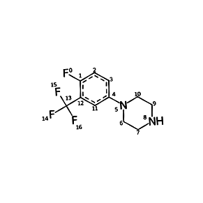 Fc1ccc(N2CCNCC2)cc1C(F)(F)F